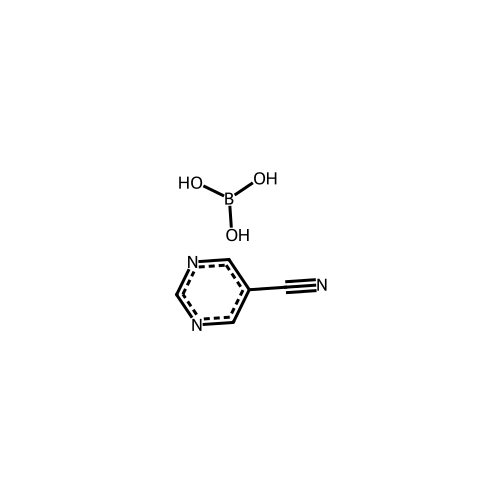 N#Cc1cncnc1.OB(O)O